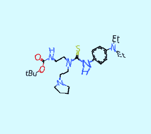 CCN(CC)c1ccc(NC(=S)N(CCNC(=O)OC(C)(C)C)CCN2CCCC2)cc1